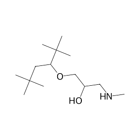 CNCC(O)COC(CC(C)(C)C)C(C)(C)C